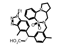 CCn1nnc2c(C)c([C@@H](CC(=O)O)c3ccc(C)c(CN4CC5CCCN5c5ccccc5S4(=O)=O)c3)ccc21